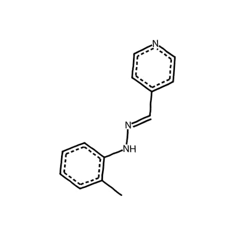 Cc1ccccc1NN=Cc1ccncc1